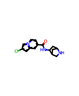 O=C(NC1CC2CC1CN2)c1ccn2cc(Cl)cc2c1